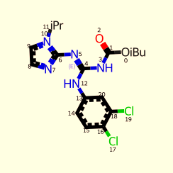 CC(C)COC(=O)N/C(=N/c1nccn1C(C)C)Nc1ccc(Cl)c(Cl)c1